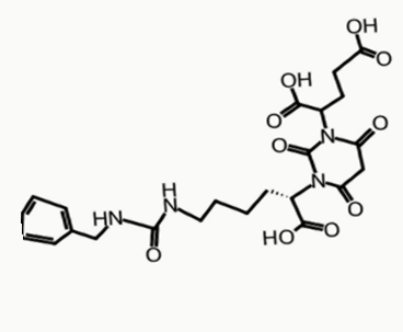 O=C(O)CCC(C(=O)O)N1C(=O)CC(=O)N([C@@H](CCCCNC(=O)NCc2ccccc2)C(=O)O)C1=O